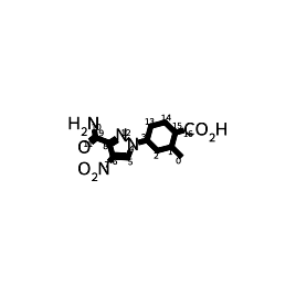 CC1CC(n2cc([N+](=O)[O-])c(C(N)=O)n2)CCC1C(=O)O